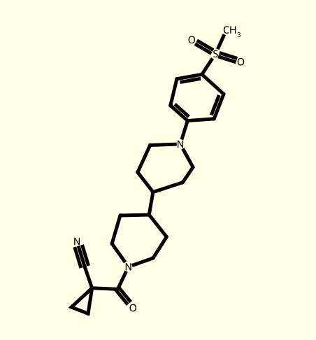 CS(=O)(=O)c1ccc(N2CCC(C3CCN(C(=O)C4(C#N)CC4)CC3)CC2)cc1